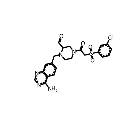 Nc1ncnc2cc(CN3CCN(C(=O)CS(=O)(=O)c4cccc(Cl)c4)CC3C=O)ccc12